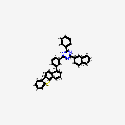 c1ccc(-c2nc(-c3cccc(-c4cccc5c4ccc4c6ccccc6sc54)c3)nc(-c3ccc4ccccc4c3)n2)cc1